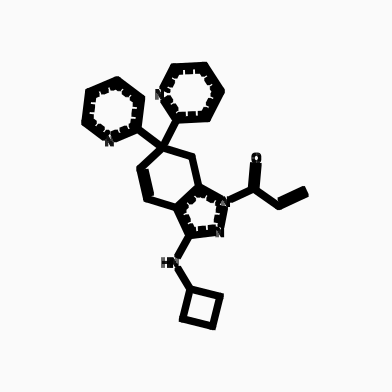 C=CC(=O)n1nc(NC2CCC2)c2c1CC(c1ccccn1)(c1ccccn1)C=C2